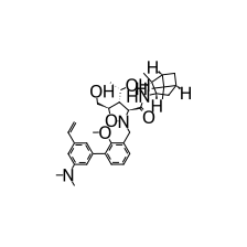 C=Cc1cc(-c2cccc(CN3O[C@@H](CO)[C@H]([C@H](C)O)[C@H]3C(=O)N[C@H]3C[C@H]4C[C@@H]([C@@H]3C)C4(C)C)c2OC)cc(N(C)C)c1